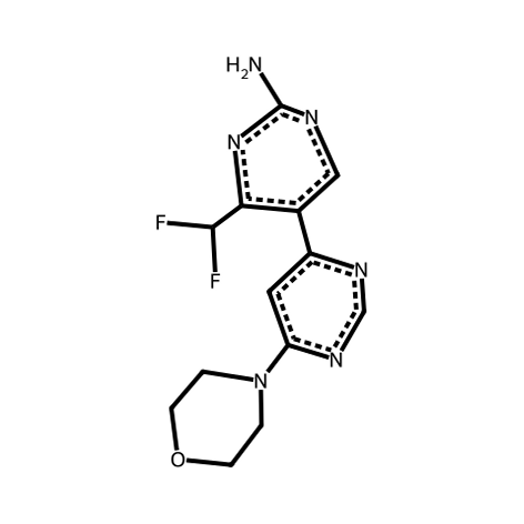 Nc1ncc(-c2cc(N3CCOCC3)ncn2)c(C(F)F)n1